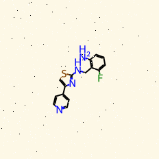 Nc1cccc(F)c1CNc1nc(-c2ccncc2)cs1